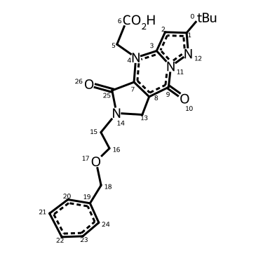 CC(C)(C)c1cc2n(CC(=O)O)c3c(c(=O)n2n1)CN(CCOCc1ccccc1)C3=O